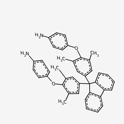 Cc1cc(C2(c3cc(C)c(Oc4ccc(N)cc4)c(C)c3)c3ccccc3-c3ccccc32)cc(C)c1Oc1ccc(N)cc1